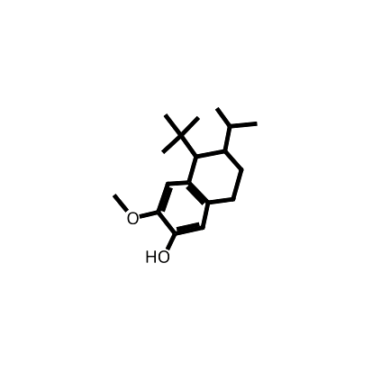 COc1cc2c(cc1O)CCC(C(C)C)C2C(C)(C)C